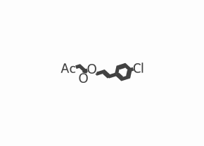 CC(=O)CC(=O)OC/C=C/c1ccc(Cl)cc1